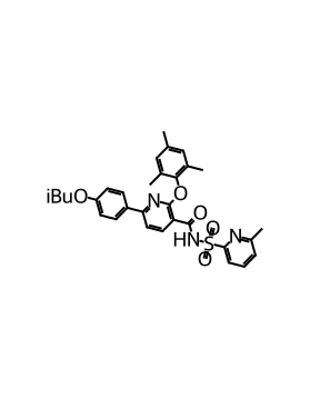 Cc1cc(C)c(Oc2nc(-c3ccc(OCC(C)C)cc3)ccc2C(=O)NS(=O)(=O)c2cccc(C)n2)c(C)c1